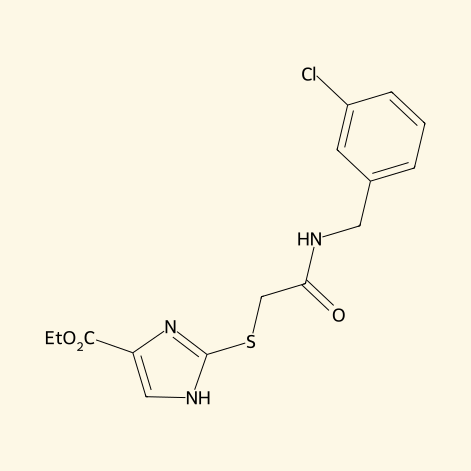 CCOC(=O)c1c[nH]c(SCC(=O)NCc2cccc(Cl)c2)n1